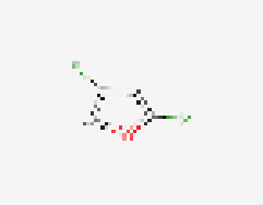 Fc1[c]oc(Br)c1